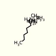 CN.CN.CN.[CH2]CCCCCC